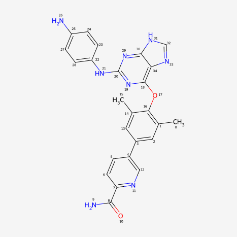 Cc1cc(-c2ccc(C(N)=O)nc2)cc(C)c1Oc1nc(Nc2ccc(N)cc2)nc2[nH]cnc12